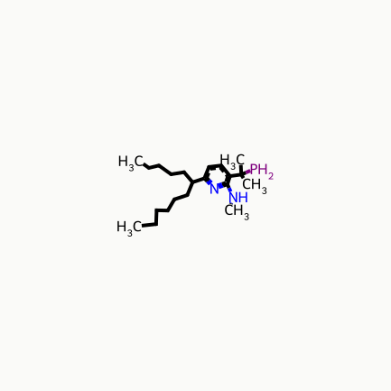 CCCCCCC(CCCCC)c1ccc(C(C)(C)P)c(NC)n1